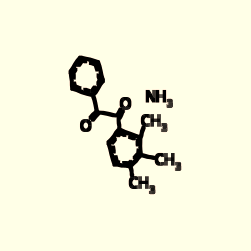 Cc1ccc(C(=O)C(=O)c2ccccc2)c(C)c1C.N